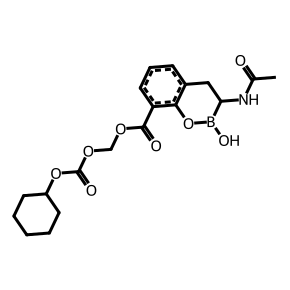 CC(=O)NC1Cc2cccc(C(=O)OCOC(=O)OC3CCCCC3)c2OB1O